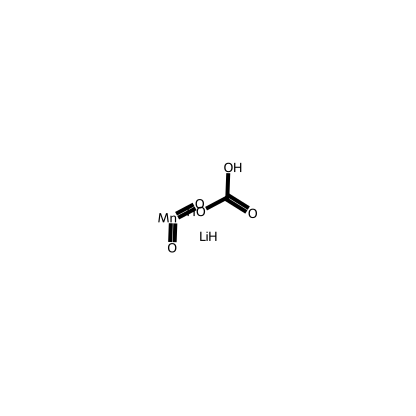 O=C(O)O.[LiH].[O]=[Mn]=[O]